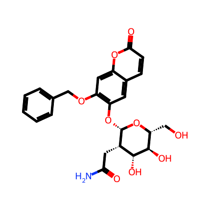 NC(=O)C[C@@H]1[C@H](Oc2cc3ccc(=O)oc3cc2OCc2ccccc2)O[C@H](CO)[C@@H](O)[C@@H]1O